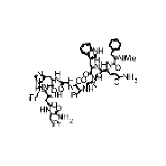 CN[C@H](Cc1ccccc1)C(=O)N[C@@H](CCC(N)=O)C(=O)NC(Cc1c[nH]c2ccccc12)C(=O)N[C@@H](C)C(=O)NC(C(=O)NCC(=O)NC(Cc1c[nH]cn1)C(=O)N[C@@H](CC(C)C)[C@@H](O)CC(=O)NC(CC(C)C)C(N)=O)C(C)C